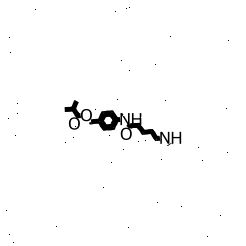 CNCCCCC(=O)Nc1ccc(COC(=O)C(C)C)cc1